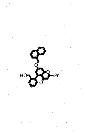 CC(C)c1cc(=O)c2c(-c3ccccc3CO)cc(OCc3cccc4ccccc34)cc2o1